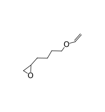 C=COCCCCC1CO1